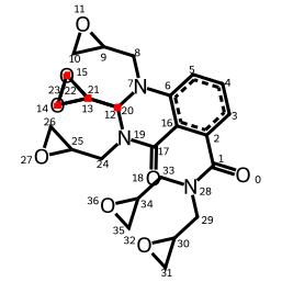 O=C(c1cccc(N(CC2CO2)CC2CO2)c1C(=O)N(CC1CO1)CC1CO1)N(CC1CO1)CC1CO1